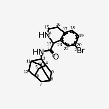 O=C(NC1C2CC3CC(C2)CC1C3)C1NCCc2ccc(Br)cc21